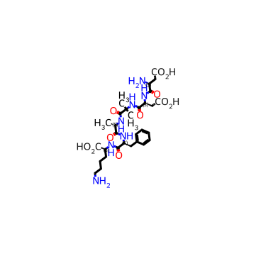 C[C@H](NC(=O)C(C)(C)NC(=O)[C@H](CC(=O)O)NC(=O)[C@@H](N)CC(=O)O)C(=O)N[C@@H](Cc1ccccc1)C(=O)N[C@@H](CCCCN)C(=O)O